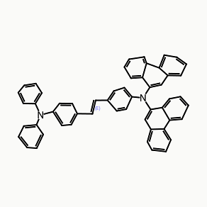 C(=C\c1ccc(N(c2cc3ccccc3c3ccccc23)c2cc3ccccc3c3ccccc23)cc1)/c1ccc(N(c2ccccc2)c2ccccc2)cc1